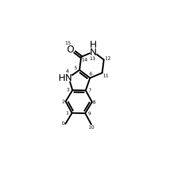 Cc1cc2[nH]c3c(c2cc1C)CCNC3=O